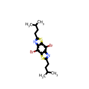 CC(C)CCc1nc2c(Br)c3sc(CCC(C)C)nc3c(Br)c2s1